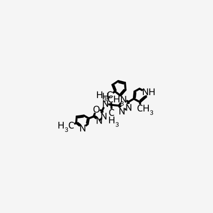 CC1=CNCC=C1c1nnc(C(C)(C)Nc2nnc(-c3ccc(C)nc3)o2)n1-c1ccccc1C